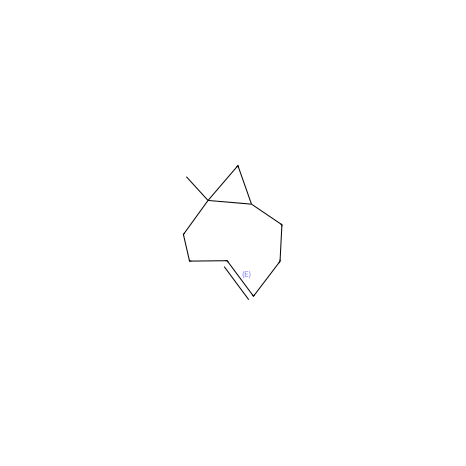 CC12CC/C=C/CCC1C2